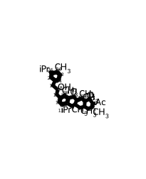 CC(=O)C1=C(C)CC2(C)CC3(C)Cc4c(C(C)C)cc(CC(O)Cc5ccc(C)c(C(C)C)c5)c(C)c4C(=O)C3=C(C)C2(C)C1=O